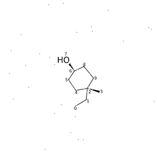 CC[C@]1(C)CC[C@@H](O)CC1